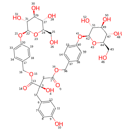 O=C(C[C@](O)(Cc1ccc(O)cc1)C(=O)OCc1ccc(O[C@@H]2O[C@H](CO)[C@@H](O)[C@H](O)[C@H]2O)cc1)OCc1ccc(O[C@@H]2O[C@H](CO)[C@@H](O)[C@H](O)[C@H]2O)cc1